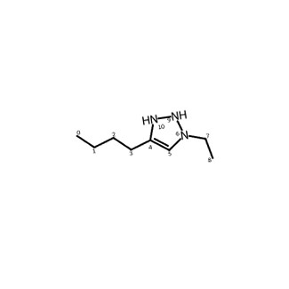 CCCCC1=CN(CC)NN1